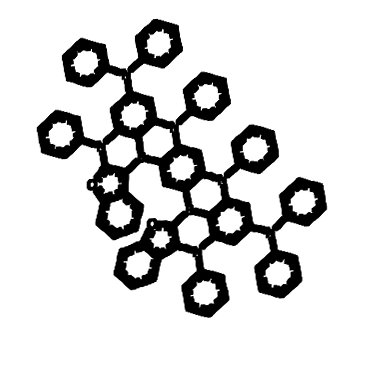 c1ccc(N(c2ccccc2)c2cc3c4c(c2)N(c2ccccc2)c2oc5ccccc5c2B4c2cc4c(cc2N3c2ccccc2)N(c2ccccc2)c2cc(N(c3ccccc3)c3ccccc3)cc3c2B4c2oc4ccccc4c2N3c2ccccc2)cc1